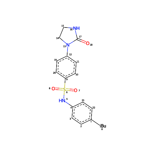 CCC(C)c1ccc(NS(=O)(=O)c2ccc(N3CCNC3=O)cc2)cc1